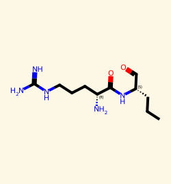 CCC[C@@H](C=O)NC(=O)[C@H](N)CCCNC(=N)N